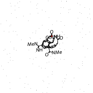 CNC(=N)c1cc(C(=O)O)c2c3ccc4c5cccc(c6cc(c(C(=O)NC)c1c62)C(=O)NC4=O)c53